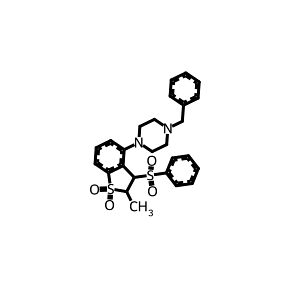 CC1C(S(=O)(=O)c2ccccc2)c2c(N3CCN(Cc4ccccc4)CC3)cccc2S1(=O)=O